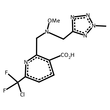 CON(Cc1nnn(C)n1)Cc1nc(C(F)(F)Cl)ccc1C(=O)O